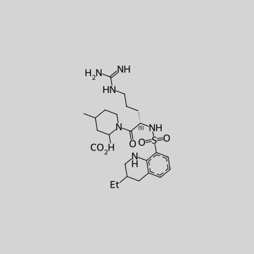 CCC1CNc2c(cccc2S(=O)(=O)N[C@@H](CCCNC(=N)N)C(=O)N2CCC(C)CC2C(=O)O)C1